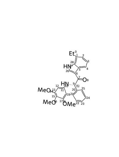 CCc1cccc2c(C(=O)[C@@H](Nc3cc(OC)c(OC)c(OC)c3)c3ccccc3)c[nH]c12